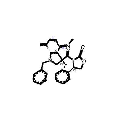 C=C(F)/C=C\C(=N/C)[C@@H]1CN(Cc2ccccc2)C[C@@]1(F)C(=O)N1C(=O)OC[C@H]1c1ccccc1